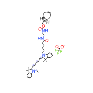 CC[N+]1=C(/C=C/C=C/C=C2/N(CCCCCC(=O)NCCNC(=O)OC[C@@H]3[C@@H]4CCC#CCC[C@@H]43)c3ccccc3C2(C)C)C(C)(C)c2ccccc21.O=C([O-])C(F)(F)F